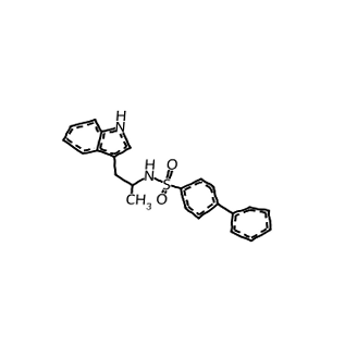 CC(Cc1c[nH]c2ccccc12)NS(=O)(=O)c1ccc(-c2ccccc2)cc1